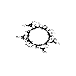 CC(C)C[C@H]1NC(=O)[C@@H](C)N(C)C(=O)[C@H](C)N(C)C(=O)[C@H](C2[C@@H](C)[C@@H]2C)NC(=O)[C@H](CC(C)C)N(C)C(=O)[C@H](C)N(C)C(O)[C@@H](CC(C)C)NC1=O